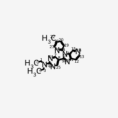 CCN(CC)c1ncc(-c2nc3ccncc3n2-c2ccc(C)cn2)cn1